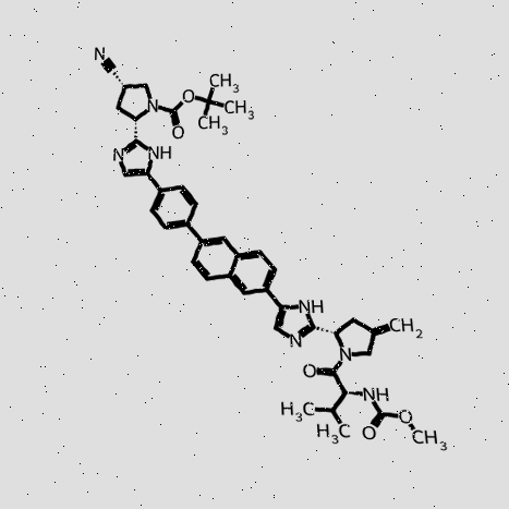 C=C1C[C@@H](c2ncc(-c3ccc4cc(-c5ccc(-c6cnc([C@@H]7C[C@H](C#N)CN7C(=O)OC(C)(C)C)[nH]6)cc5)ccc4c3)[nH]2)N(C(=O)[C@@H](NC(=O)OC)C(C)C)C1